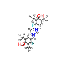 CC(C)(C)c1cc(CN2CCCN(Cc3cc(C(C)(C)C)c(O)c(C(C)(C)C)c3F)C2)c(F)c(C(C)(C)C)c1O